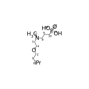 CC(C)CCOCCN(C)CCCP(=O)(O)O